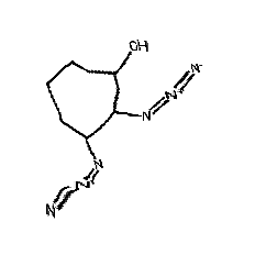 [N-]=[N+]=NC1CCCC(O)C1N=[N+]=[N-]